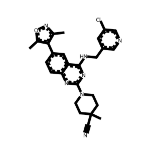 Cc1noc(C)c1-c1ccc2nc(N3CCC(C)(C#N)CC3)nc(NCc3cncc(Cl)c3)c2c1